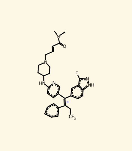 CN(C)C(=O)C=CCN1CCC(Nc2ccc(/C(=C(/CC(F)(F)F)c3ccccc3)c3ccc4[nH]nc(F)c4c3)cn2)CC1